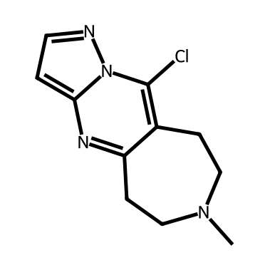 CN1CCc2nc3ccnn3c(Cl)c2CC1